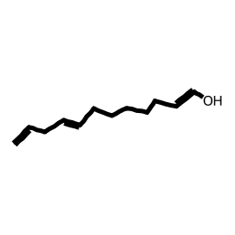 C=CCC=CCCCCCC=CO